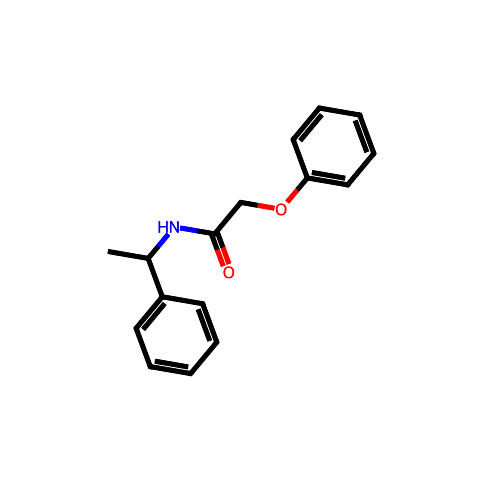 CC(NC(=O)COc1ccccc1)c1ccccc1